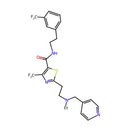 CCN(CCc1nc(C(F)(F)F)c(C(=O)NCCc2cccc(C(F)(F)F)c2)s1)Cc1ccncc1